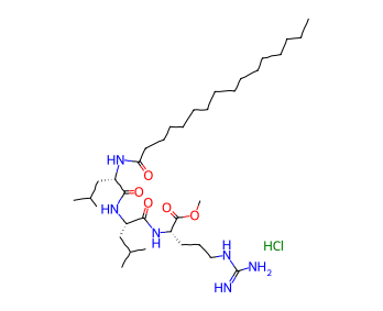 CCCCCCCCCCCCCCCC(=O)N[C@@H](CC(C)C)C(=O)N[C@@H](CC(C)C)C(=O)N[C@@H](CCCNC(=N)N)C(=O)OC.Cl